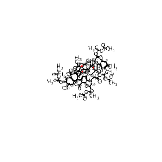 CC(=O)OC(C)OC(=O)CN(CC(=O)OC(C)OC(C)=O)c1ccc(C)cc1OCCOc1cc2c(cc1N(CC(=O)OC(C)OC(C)=O)CC(=O)OC(C)OC(C)=O)C(=O)OC21c2cc(Cl)c(OC(C)OC(C)=O)cc2C(C)(C)c2cc(OC(C)OC(C)=O)c(Cl)cc21